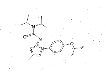 Cc1cn(-c2ccc(OC(F)F)cc2)/c(=N/C(=O)N(C(C)C)C(C)C)s1